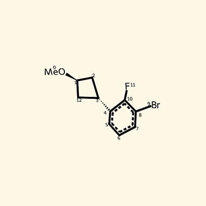 CO[C@H]1C[C@H](c2cccc(Br)c2F)C1